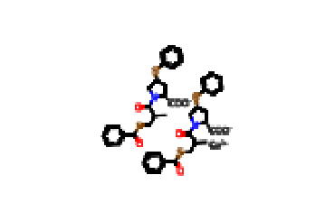 CC(CSC(=O)c1ccccc1)C(=O)N1C[C@@H](Sc2ccccc2)C[C@H]1C(=O)[O-].CC(CSC(=O)c1ccccc1)C(=O)N1C[C@@H](Sc2ccccc2)C[C@H]1C(=O)[O-].[Ca+2]